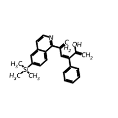 C=C(O)/C(=C\C(=C)c1nccc2cc([Si](C)(C)C)ccc12)c1ccccc1